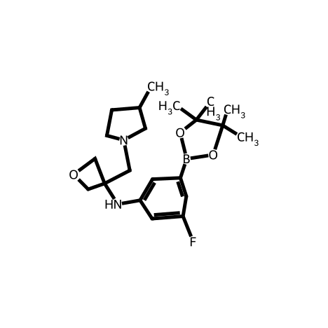 CC1CCN(CC2(Nc3cc(F)cc(B4OC(C)(C)C(C)(C)O4)c3)COC2)C1